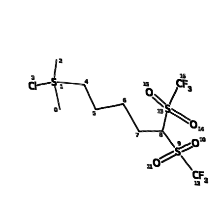 CS(C)(Cl)CCCCC(S(=O)(=O)C(F)(F)F)S(=O)(=O)C(F)(F)F